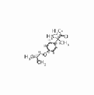 CC(=O)C(C)(C)c1ccc(OCC(C)C)cc1